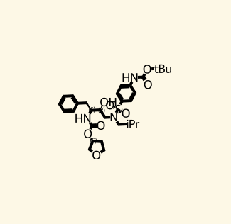 CC(C)CN(C[C@@H](O)[C@H](Cc1ccccc1)NC(=O)O[C@H]1CCOC1)S(=O)(=O)c1ccc(NC(=O)OC(C)(C)C)cc1